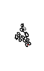 c1ccc(C2(c3ccccc3)c3ccccc3-c3cc(N(c4cccc(-c5cccc6c5oc5ccccc56)c4)c4ccc5c(c4)C4(c6ccccc6-c6ccccc64)c4ccccc4-5)ccc32)cc1